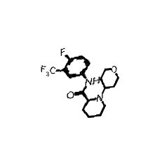 O=C(Nc1ccc(F)c(C(F)(F)F)c1)C1CCCCN1C1CCOCC1